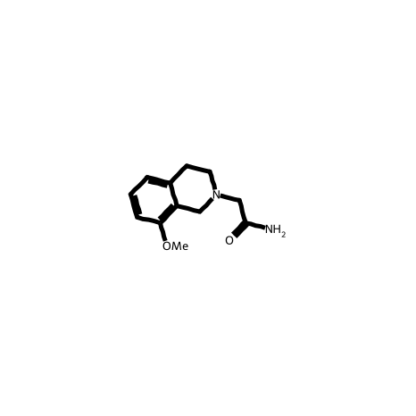 COc1cccc2c1CN(CC(N)=O)CC2